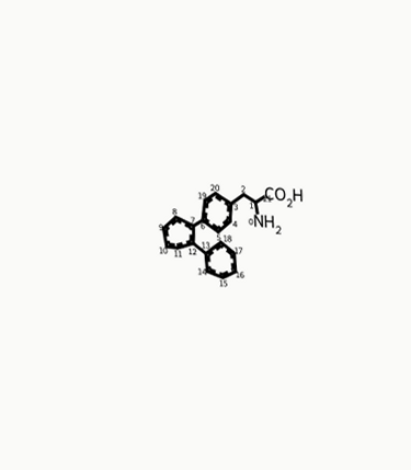 NC(Cc1ccc(-c2ccccc2-c2ccccc2)cc1)C(=O)O